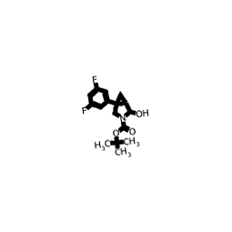 CC(C)(C)OC(=O)N1CC2(c3cc(F)cc(F)c3)CC2C1O